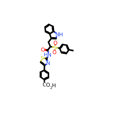 Cc1ccc(S(=O)(=O)C(Cc2c[nH]c3ccccc23)C(=O)Nc2nc(-c3ccc(C(=O)O)cc3)cs2)cc1